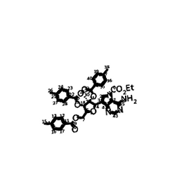 CCOC(=O)n1cc(C2OC(COC(=O)c3ccc(C)cc3)[C@@H](OC(=O)c3ccc(C)cc3)[C@@]2(C)OC(=O)c2ccc(C)cc2)c2ncnc(N)c21